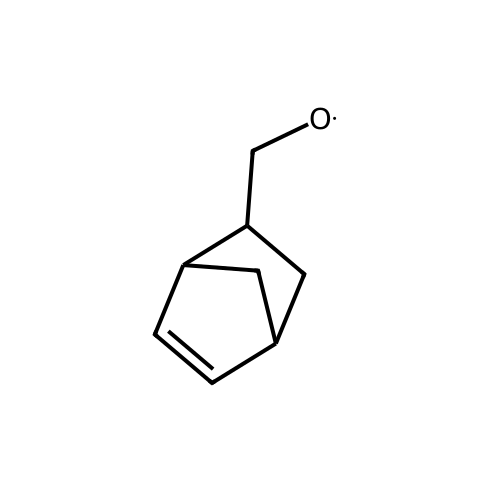 [O]CC1CC2C=CC1C2